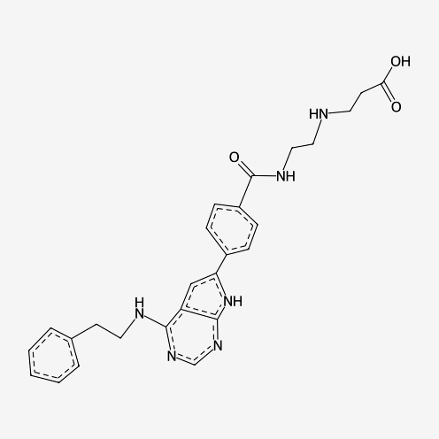 O=C(O)CCNCCNC(=O)c1ccc(-c2cc3c(NCCc4ccccc4)ncnc3[nH]2)cc1